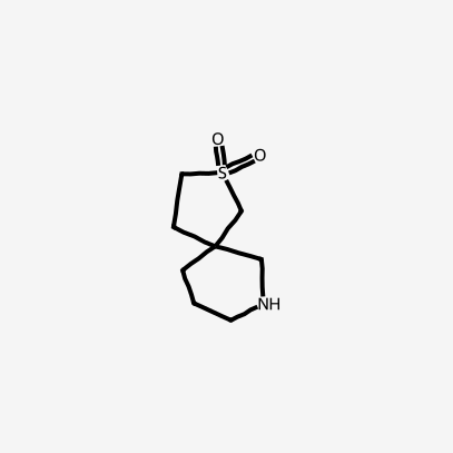 O=S1(=O)CCC2(CCCNC2)C1